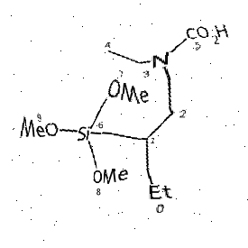 CCC(CN(C)C(=O)O)[Si](OC)(OC)OC